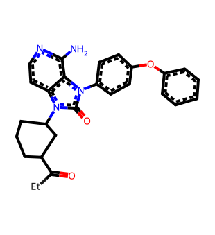 CCC(=O)C1CCCC(n2c(=O)n(-c3ccc(Oc4ccccc4)cc3)c3c(N)nccc32)C1